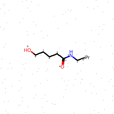 CC(C)CNC(=O)CCCCO